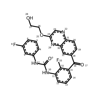 O=C(Nc1cccc(F)c1)Nc1cccc(C(=O)c2ccc3ncc(OCCO)nc3c2)c1F